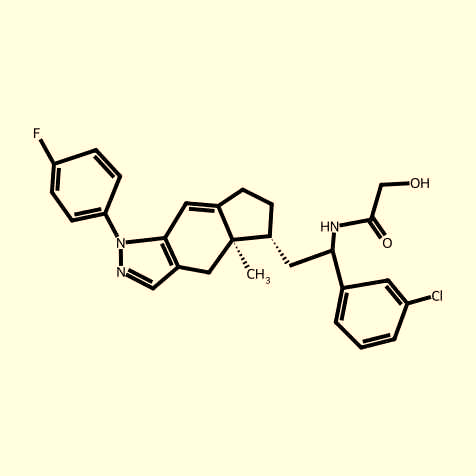 C[C@]12Cc3cnn(-c4ccc(F)cc4)c3C=C1CC[C@@H]2CC(NC(=O)CO)c1cccc(Cl)c1